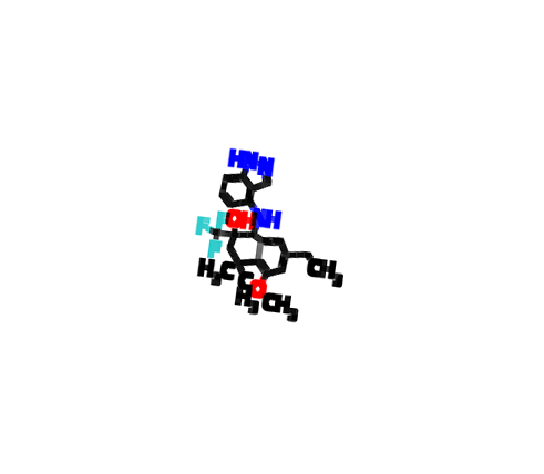 CCc1cc(OC)c2c(c1)C(Nc1cccc3[nH]ncc13)C(O)(C(F)(F)F)CC2(C)C